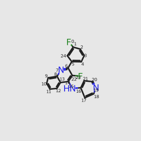 Fc1cccc(-c2nc3ccccc3c(Nc3ccncc3)c2F)c1